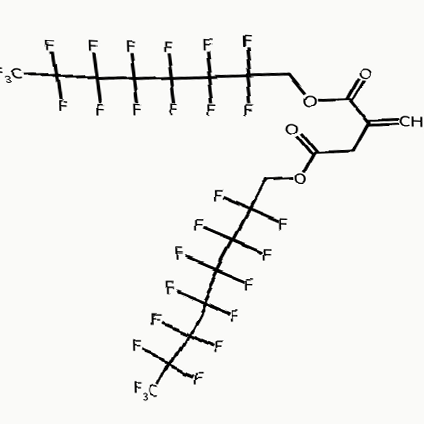 C=C(CC(=O)OCC(F)(F)C(F)(F)C(F)(F)C(F)(F)C(F)(F)C(F)(F)C(F)(F)F)C(=O)OCC(F)(F)C(F)(F)C(F)(F)C(F)(F)C(F)(F)C(F)(F)C(F)(F)F